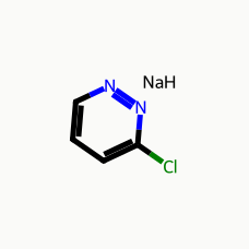 Clc1cccnn1.[NaH]